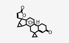 C[C@]12CCC3C(CC4(CC4)C4=CC(=O)CC[C@@H]43)C1C1CC1[C@@]21C=CC(=O)O1